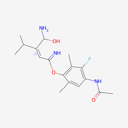 CC(=O)Nc1cc(C)c(OC(=N)/C=C(/C(C)C)C(N)O)c(C)c1F